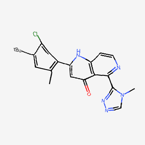 Cc1cc(C(C)(C)C)c(Cl)cc1-c1cc(=O)c2c(-c3nncn3C)nccc2[nH]1